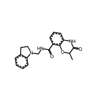 CC1Oc2c(cccc2C(=O)NCN2CCc3ccccc32)NC1=O